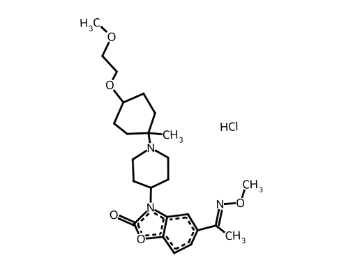 COCCOC1CCC(C)(N2CCC(n3c(=O)oc4ccc(C(C)=NOC)cc43)CC2)CC1.Cl